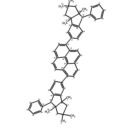 CC1(C)CC2(C)c3cc(-c4ccc5ccc6c(-c7ccc8c(c7)C7(C)CC(C)(C)CC7(C)N8c7ccccc7)ccc7ccc4c5c76)ccc3N(c3ccccc3)C2(C)C1